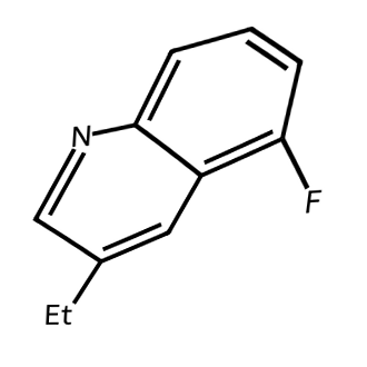 CCc1cnc2cccc(F)c2c1